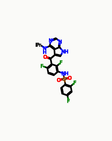 CC(C)Nc1ncnc2[nH]cc(C(=O)c3c(F)ccc(NS(=O)(=O)c4ccc(F)cc4F)c3F)c12